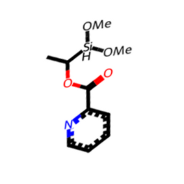 CO[SiH](OC)C(C)OC(=O)c1ccccn1